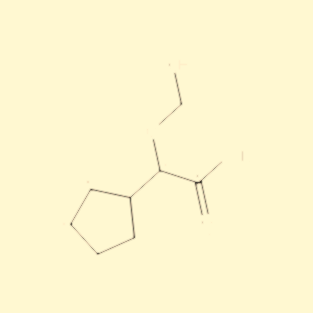 CCOC(C(C)=O)C1CCCC1